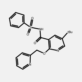 CC(C)(C)c1cnc(OCc2ccccn2)c(C(=O)NS(=O)(=O)c2ccccc2)c1